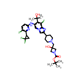 CC(C)(C)OC(=O)N1CC(O)(CN2CCC(c3cn4cc(Nc5ccc(F)c(C6CC6(F)F)n5)c(C(C)(C)O)c(F)c4n3)CC2)C1